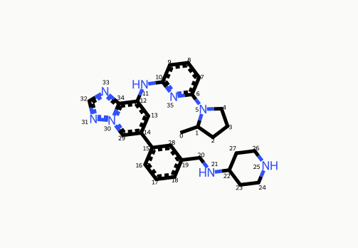 CC1CCCN1c1cccc(Nc2cc(-c3cccc(CNC4CCNCC4)c3)cn3ncnc23)n1